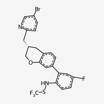 Fc1ccc(NSC(F)(F)F)c(-c2ccc3c(c2)OC[C@H](Cc2ccc(Br)cn2)C3)c1